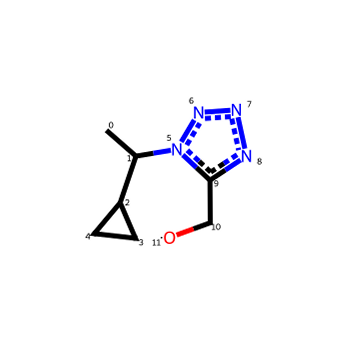 CC(C1CC1)n1nnnc1C[O]